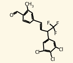 Cc1cc(/C=C/C(c2cc(Cl)c(Cl)c(Cl)c2)C(F)(F)F)ccc1C=O